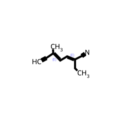 C#C/C(C)=C/C=C(/C#N)CC